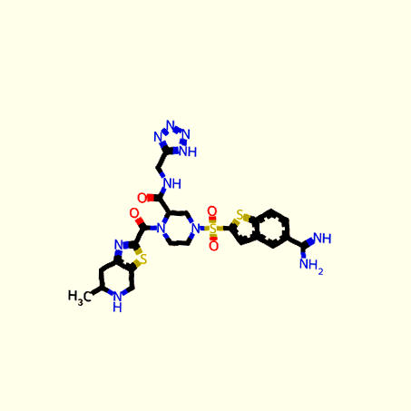 CC1Cc2nc(C(=O)N3CCN(S(=O)(=O)c4cc5cc(C(=N)N)ccc5s4)CC3C(=O)NCc3nnn[nH]3)sc2CN1